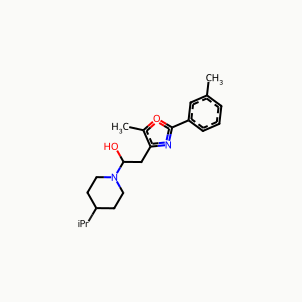 Cc1cccc(-c2nc(CC(O)N3CCC(C(C)C)CC3)c(C)o2)c1